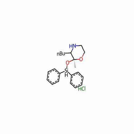 CCCCC1NCCO[C@@]1(C)O[SiH](c1ccccc1)c1ccccc1.Cl